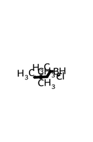 CCC(C)(C)CC(C)BCl